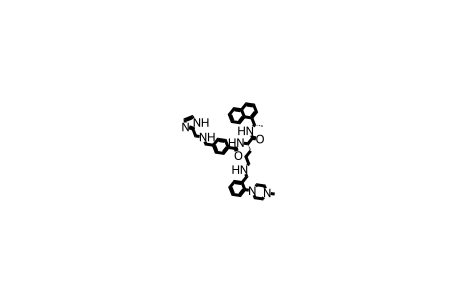 C[C@H](NC(=O)[C@H](CCCNCc1ccccc1N1CCN(C)CC1)NC(=O)c1ccc(CNCc2ncc[nH]2)cc1)c1cccc2ccccc12